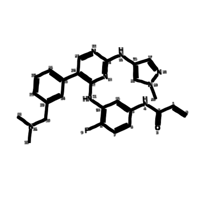 C=CC(=O)Nc1ccc(F)c(Nc2nc(Nc3cnn(C)c3)ncc2-c2cccc(CN(C)C)c2)c1